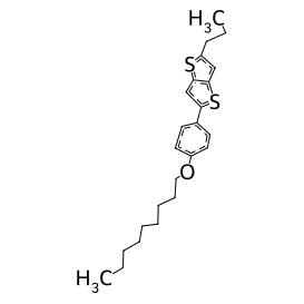 CCCCCCCCCOc1ccc(-c2cc3sc(CCC)cc3s2)cc1